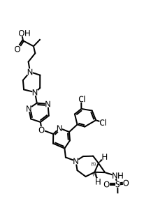 CC(CCN1CCN(c2ncc(Oc3cc(CN4CC[C@@H]5C(NS(C)(=O)=O)[C@@H]5CC4)cc(-c4cc(Cl)cc(Cl)c4)n3)cn2)CC1)C(=O)O